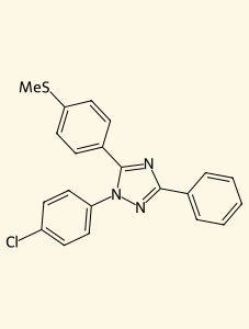 CSc1ccc(-c2nc(-c3ccccc3)nn2-c2ccc(Cl)cc2)cc1